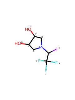 OC1CN(C(I)C(F)(F)F)CC1O